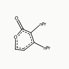 CCCc1ccoc(=O)c1CCC